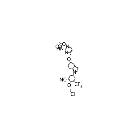 CS(=O)(=O)Nc1nccc(COc2ccc3c(ccn3-c3cc(C#N)c(OCCCl)c(C(F)(F)F)c3)c2)n1